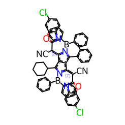 Cc1ccccc1-c1c2/c(=C(\C#N)c3nc4ccc(Cl)cc4o3)n(B(c3ccccc3)c3ccccc3)c(C3CCCCC3)c2/c(=C(\C#N)c2nc3ccc(Cl)cc3o2)n1B(c1ccccc1)c1ccccc1